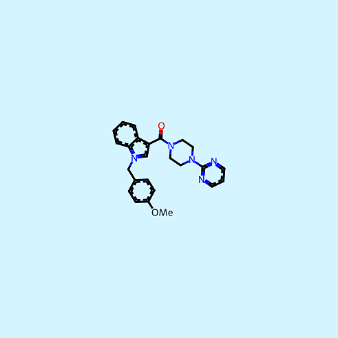 COc1ccc(Cn2cc(C(=O)N3CCN(c4ncccn4)CC3)c3ccccc32)cc1